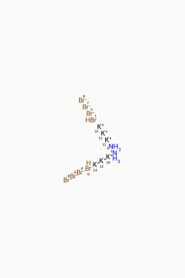 Br.Br.N.N.[Br-].[Br-].[Br-].[Br-].[Br-].[Br-].[K+].[K+].[K+].[K+].[K+].[K+]